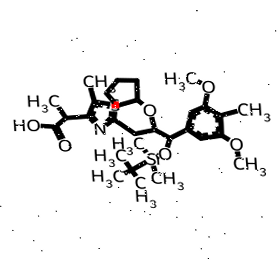 COc1cc(C(O[Si](C)(C)C(C)(C)C)C(Cc2nc(C(C)C(=O)O)c(C)s2)OC2CCCC2)cc(OC)c1C